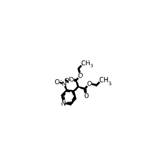 CCOC(=O)C(C(=O)OCC)c1ccncc1[N+](=O)[O-]